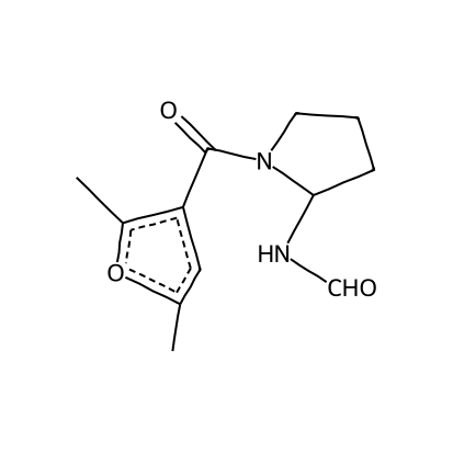 Cc1cc(C(=O)N2CCCC2NC=O)c(C)o1